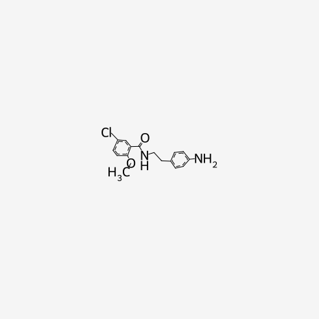 COc1ccc(Cl)cc1C(=O)NCCc1ccc(N)cc1